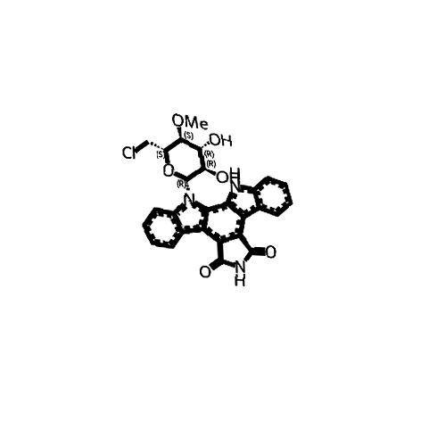 CO[C@H]1[C@H](O)[C@@H](O)[C@H](n2c3ccccc3c3c4c(c5c6ccccc6[nH]c5c32)C(=O)NC4=O)O[C@@H]1CCl